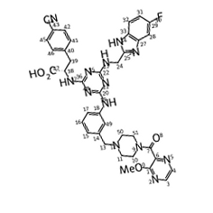 COc1nccnc1C(=O)N1CCN(Cc2cccc(Nc3nc(NCc4nc5cc(F)ccc5[nH]4)nc(N[C@@H](Cc4ccc(C#N)cc4)C(=O)O)n3)c2)CC1